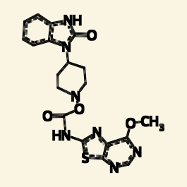 COc1ncnc2sc(NC(=O)ON3CCC(n4c(=O)[nH]c5ccccc54)CC3)nc12